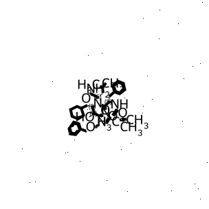 CC(C)C[C@@H](C(N)=O)N(C(=O)[C@H](Cc1ccccc1)NC(=O)OC(C)(C)C)[C@@H](CC1CCCCC1)[C@@H](O)c1nccn1COCc1ccccc1